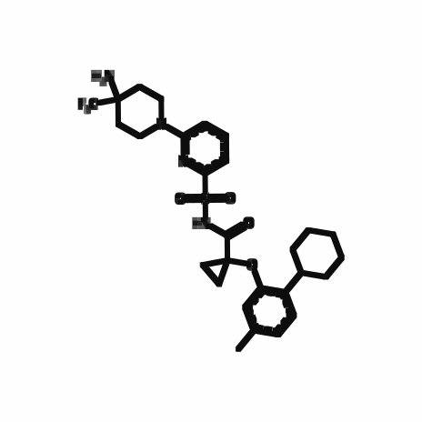 Cc1ccc(C2CCCCC2)c(OC2(C(=O)NS(=O)(=O)c3cccc(N4CCC(N)(C(F)(F)F)CC4)n3)CC2)c1